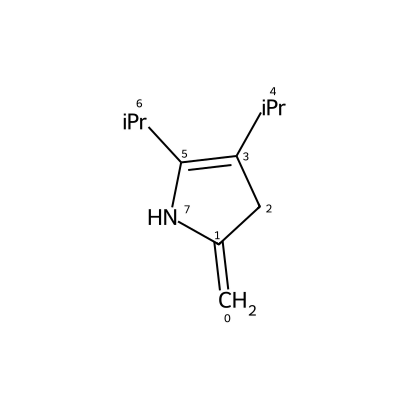 C=C1CC(C(C)C)=C(C(C)C)N1